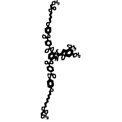 C=CC(=O)OCCCCCCCCOc1ccc(OC(=O)[C@H]2CC[C@H](C(=O)Oc3ccc(OC(=O)[C@H]4CC[C@H](C(=O)Oc5ccc(OCCCCCOC(=O)C=C)cc5)CC4)c4sc(-c5cc6c(C)cc(C)cc6o5)nc34)CC2)cc1